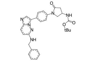 CC(C)(C)OC(=O)NC1CC(=O)N(c2ccc(-c3cnc4ccc(NCc5ccccc5)nn34)cc2)C1